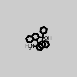 Nc1ccc2ccccc2c1-c1c(C(O)(c2ccccc2)c2ccccc2)ccc2ccccc12